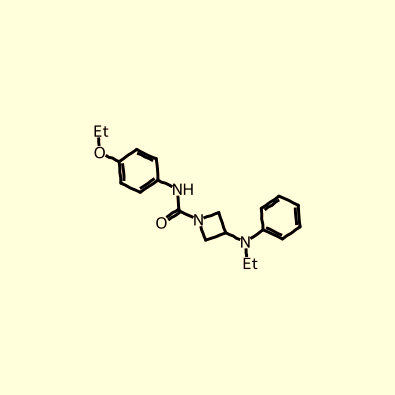 CCOc1ccc(NC(=O)N2CC(N(CC)c3ccccc3)C2)cc1